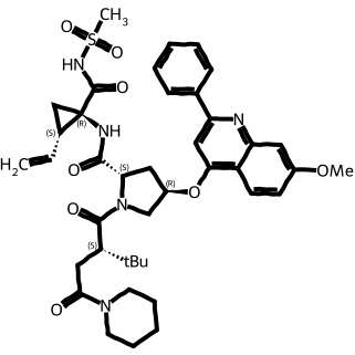 C=C[C@@H]1C[C@]1(NC(=O)[C@@H]1C[C@@H](Oc2cc(-c3ccccc3)nc3cc(OC)ccc23)CN1C(=O)[C@@H](CC(=O)N1CCCCC1)C(C)(C)C)C(=O)NS(C)(=O)=O